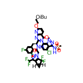 CC(C)COCCOc1ccc2c(=O)n(-c3ccc(Cl)c4c(NS(C)(=O)=O)nn(C)c34)c([C@H](Cc3cc(F)cc(F)c3)NC(=O)Cn3nc(C(F)F)c4c3C(F)(F)[C@@H]3C[C@H]43)nc2n1